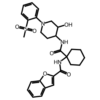 CS(=O)(=O)c1ccccc1N1CCC(NC(=O)C2(NC(=O)c3cc4ccccc4o3)CCCCC2)C(O)C1